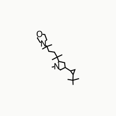 CN1CC(C2CC2C(C)(C)C)CC1C(C)(C)CCC(C)(C)N1CCOCC1